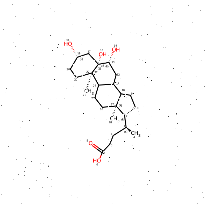 C[C@@H](CCC(=O)O)[C@H]1CCC2C3C[C@@H](O)[C@]4(O)C[C@@H](O)CC[C@]4(C)C3CC[C@@]21C